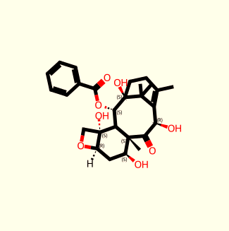 CC1=C2[C@@H](O)C(=O)[C@@]3(C)C([C@H](OC(=O)c4ccccc4)[C@](O)(CC1)C2(C)C)[C@]1(O)CO[C@@H]1C[C@@H]3O